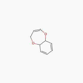 [C]1=CCOC2C=CC=CC2O1